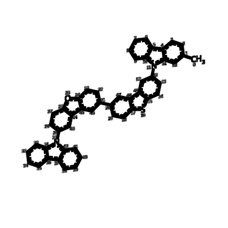 Cc1ccc2c3ccccc3n(-c3ccc4sc5ccc(-c6ccc7oc8ccc(-n9c%10ccccc%10c%10ccccc%109)cc8c7c6)cc5c4c3)c2c1